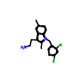 Cc1ccc2c(c1)c(CCN)c(C)n2Cc1ccc(Cl)cc1Cl